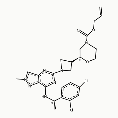 C=CCOC(=O)N1CCO[C@@H](C2CN(c3nc(N[C@H](C)c4ccc(Cl)cc4Cl)c4nn(C)cc4n3)C2)C1